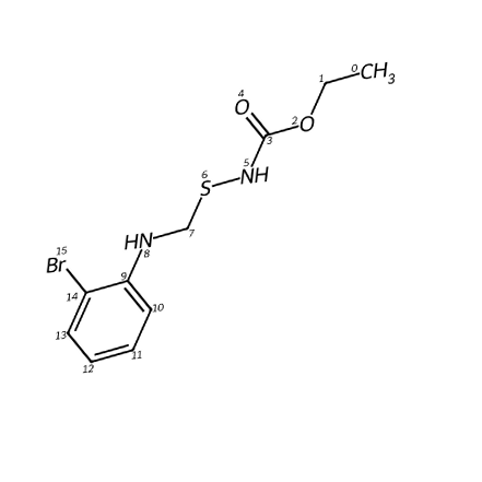 CCOC(=O)NSCNc1ccccc1Br